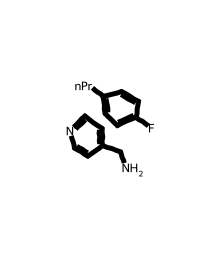 CCCc1ccc(F)cc1.NCc1ccncc1